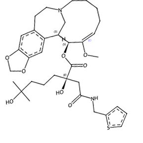 CO/C1=C/CCCCN2CCc3cc4c(cc3[C@@H](C2)[C@@H]1OC(=O)[C@@](O)(CCCC(C)(C)O)CC(=O)NCc1cccs1)OCO4